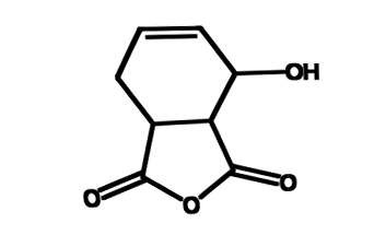 O=C1OC(=O)C2C(O)C=CCC12